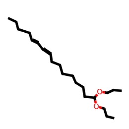 CCCCC=CC=CCCCCCCCC(OCCC)OCCC